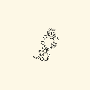 CCn1c(-c2cnccc2COC)c2c3cc(ccc31)-c1cccc(c1)C[C@H](NC(=O)[C@H](C(C)C)N(C)C(=O)[C@@H]1CCC(N=C=Nc3ccc(OC)cc3)C1)C(=O)N1CCC[C@H](N1)C(=O)OCC(C)(C)C2